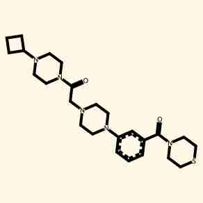 O=C(CN1CCN(c2cccc(C(=O)N3CCSCC3)c2)CC1)N1CCN(C2CCC2)CC1